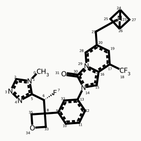 Cn1cnnc1[C@H](F)C1(c2cccc(-n3cc4c(C(F)(F)F)cc(CN5CC6CC5C6)cn4c3=O)c2)COC1